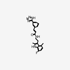 Cc1[nH]c2c(F)ccc(C)c2c1CCNC(=O)C=Cc1cccc(-c2nnn[nH]2)c1